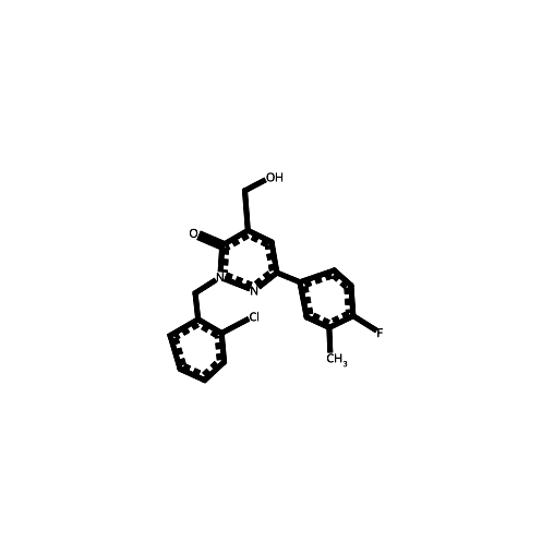 Cc1cc(-c2cc(CO)c(=O)n(Cc3ccccc3Cl)n2)ccc1F